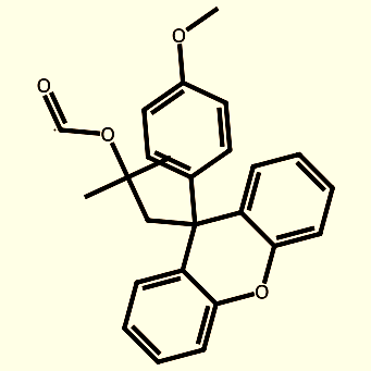 COc1ccc(C2(CC(C)(C)O[C]=O)c3ccccc3Oc3ccccc32)cc1